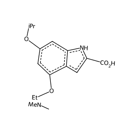 CCOc1cc(OC(C)C)cc2[nH]c(C(=O)O)cc12.CNC